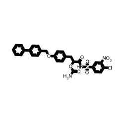 NC(=O)OC(Cc1ccc(OCc2ccc(-c3ccccc3)cc2)cc1)C(=O)NS(=O)(=O)c1ccc(Cl)c([N+](=O)[O-])c1